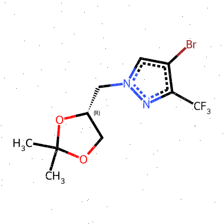 CC1(C)OC[C@@H](Cn2cc(Br)c(C(F)(F)F)n2)O1